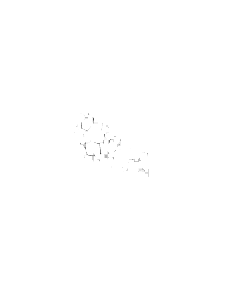 Cc1noc(C)c1-c1ncnc(N2CCC(C(=O)O)CC2)c1[N+](=O)[O-]